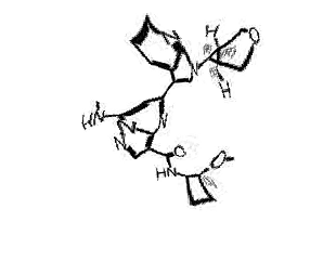 CNc1cc(-c2cn([C@H]3[C@@H]4COC[C@@H]43)c3ncccc23)nc2c(C(=O)NC3CC[C@@H]3OC)cnn12